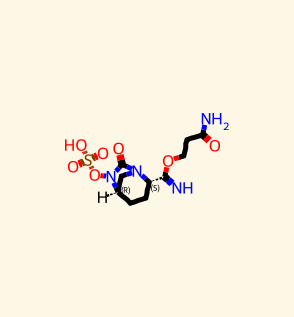 N=C(OCCC(N)=O)[C@@H]1CC[C@@H]2CN1C(=O)N2OS(=O)(=O)O